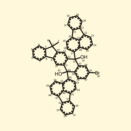 CC1(C)c2ccccc2-c2cc3c(cc21)C(O)(c1ccc2c4c(cccc14)-c1ccccc1-2)c1cc(Br)ccc1C3(O)c1ccc2c3c(cccc13)-c1ccccc1-2